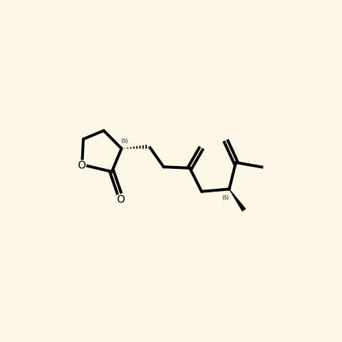 C=C(CC[C@H]1CCOC1=O)C[C@H](C)C(=C)C